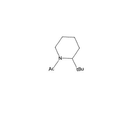 CC(=O)N1CCCCC1C(C)(C)C